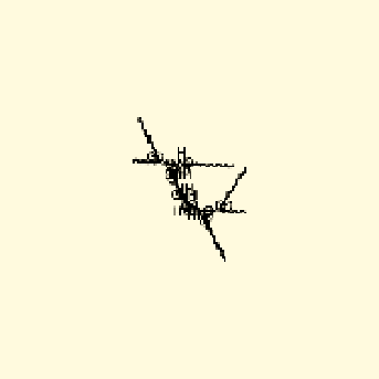 CCCCCCCCCCCCOC(=O)N[C@H](COCC[C@@H](CCCCCCC)OC(=O)CCCCCCCCCCC)COP(=O)(O)OCCNC(=O)NCCOP(=O)(O)OC[C@@H](COCC[C@@H](CCCCCCC)OC(=O)CCCCCCCCCCC)NC(=O)OCCCCCCCCCCCC